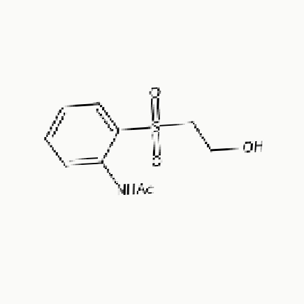 CC(=O)Nc1ccccc1S(=O)(=O)CCO